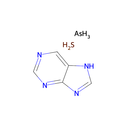 S.[AsH3].c1ncc2[nH]cnc2n1